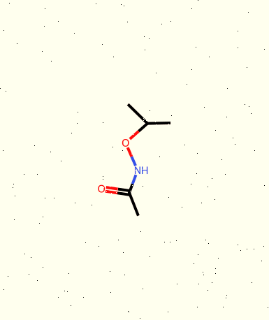 CC(=O)NOC(C)C